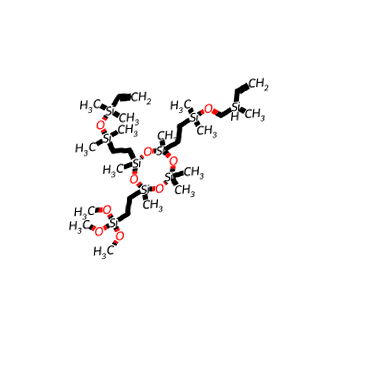 C=C[SiH](C)CO[Si](C)(C)CC[Si]1(C)O[Si](C)(C)O[Si](C)(CC[Si](OC)(OC)OC)O[Si](C)(CC[Si](C)(C)O[Si](C)(C)C=C)O1